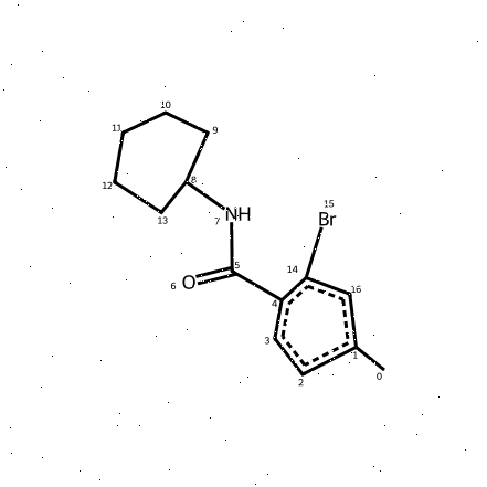 Cc1ccc(C(=O)NC2CCCCC2)c(Br)c1